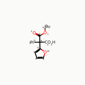 CCC(C)OC(=O)C(C(=O)O)(c1ccco1)C(C)C